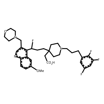 COc1ccc2ncc(CN3CCOCC3)c(C(F)CCC3(CC(=O)O)CCN(CCCc4cc(F)cc(F)c4F)CC3)c2c1